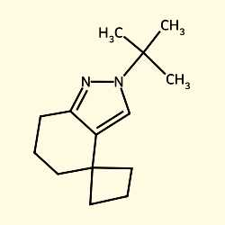 CC(C)(C)n1cc2c(n1)CCCC21CCC1